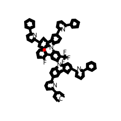 Fc1cccc(F)c1-c1cc(-n2c3ccc(-c4cccc(-c5ccccc5)n4)cc3c3cc(-c4cccc(-c5ccccc5)n4)ccc32)c(C(F)(F)F)cc1-n1c2ccc(-c3cccc(-c4ccccc4)n3)cc2c2cc(-c3cccc(-c4ccccc4)n3)ccc21